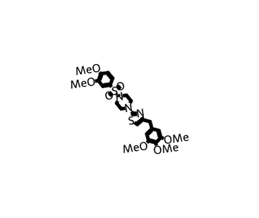 COc1ccc(S(=O)(=O)N2CCN(c3nc(Cc4cc(OC)c(OC)c(OC)c4)cs3)CC2)cc1OC